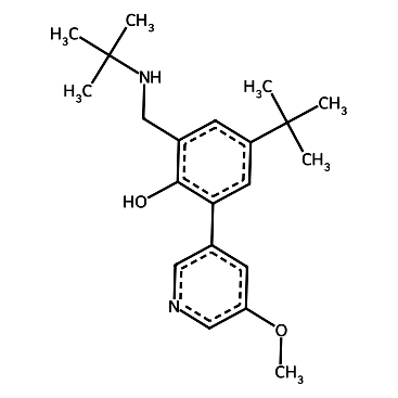 COc1cncc(-c2cc(C(C)(C)C)cc(CNC(C)(C)C)c2O)c1